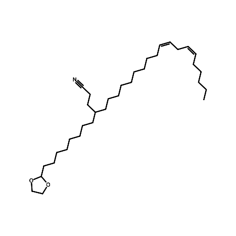 CCCCC/C=C\C/C=C\CCCCCCCCCC(CCC#N)CCCCCCCCC1OCCO1